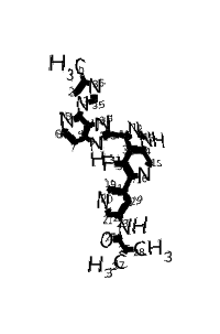 Cc1cn(-c2nccc3[nH]c(-c4n[nH]c5cnc(-c6cncc(NC(=O)C(C)C)c6)c(F)c45)nc23)cn1